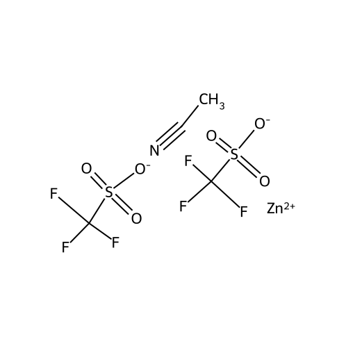 CC#N.O=S(=O)([O-])C(F)(F)F.O=S(=O)([O-])C(F)(F)F.[Zn+2]